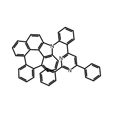 c1ccc(-c2cc(-c3ccccc3-n3c4cccc5c4c4c6c(cccc6ccc43)-c3ccccc3-5)nc(-c3ccccc3)n2)cc1